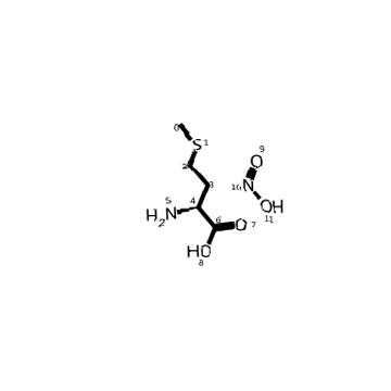 CSCC[C@H](N)C(=O)O.O=NO